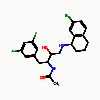 CC(=O)NC(Cc1cc(F)cc(F)c1)C(O)CNC1CCCc2ccc(Br)cc21